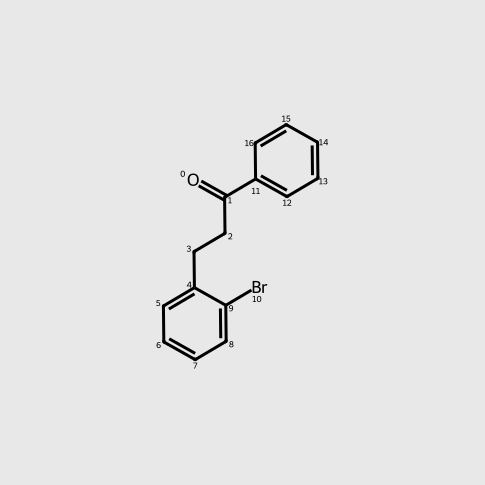 O=C(CCc1ccccc1Br)c1ccccc1